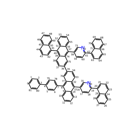 c1ccc(-c2ccc(-c3c4ccccc4c(-c4ccc(-c5cccc6ccccc56)nc4)c4ccc(-c5ccc6c(-c7cccc8ccccc78)c7ccccc7c(-c7ccc(-c8cccc9ccccc89)nc7)c6c5)cc34)cc2)cc1